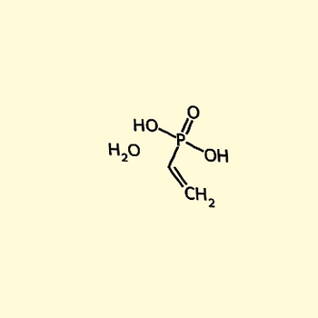 C=CP(=O)(O)O.O